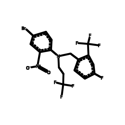 O=[N+]([O-])c1cc(Br)ccc1N(CCC(F)(F)F)Cc1ccc(F)cc1C(F)(F)F